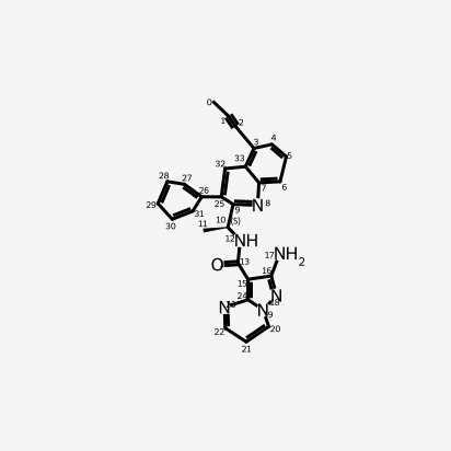 CC#Cc1cccc2nc([C@H](C)NC(=O)c3c(N)nn4cccnc34)c(-c3ccccc3)cc12